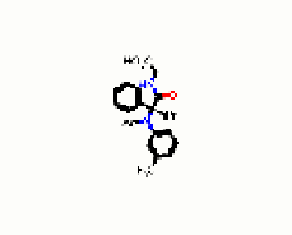 CC(=O)N(c1cccc(C(F)(F)F)c1)[C@@](C(=O)NCC(=O)O)(c1ccccc1)C(C)C